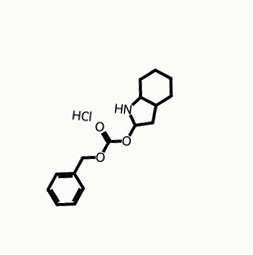 Cl.O=C(OCc1ccccc1)OC1CC2CCCCC2N1